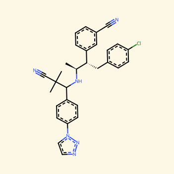 C[C@H](NC(c1ccc(-n2ccnn2)cc1)C(C)(C)C#N)[C@@H](Cc1ccc(Cl)cc1)c1cccc(C#N)c1